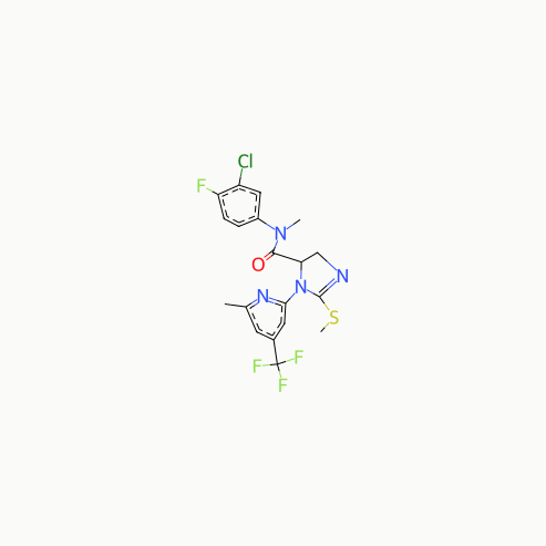 CSC1=NCC(C(=O)N(C)c2ccc(F)c(Cl)c2)N1c1cc(C(F)(F)F)cc(C)n1